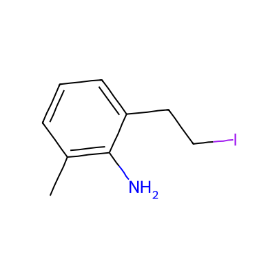 Cc1cccc(CCI)c1N